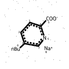 CCCCc1ccc(C(=O)[O-])nc1.[Na+]